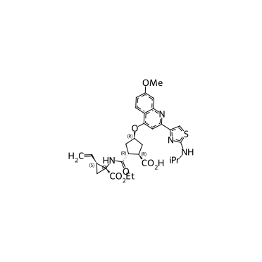 C=C[C@@H]1C[C@]1(NC(=O)[C@@H]1C[C@@H](Oc2cc(-c3csc(NC(C)C)n3)nc3cc(OC)ccc23)C[C@H]1C(=O)O)C(=O)OCC